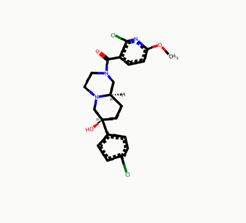 COc1ccc(C(=O)N2CCN3C[C@@](O)(c4ccc(Cl)cc4)CC[C@@H]3C2)c(Cl)n1